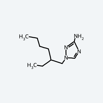 CCCCC(CC)Cn1cnc(N)n1